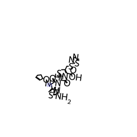 Nc1nc(/C(=N/OC2C=CCC2)C(=O)NC2C(=O)N3C(C(=O)O)=C(CSc4nncs4)CS[C@H]23)cs1